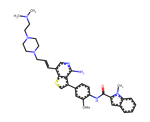 COc1cc(-c2csc3c(/C=C/CN4CCN(CCN(C)C)CC4)cnc(N)c23)ccc1NC(=O)c1cc2ccccc2n1C